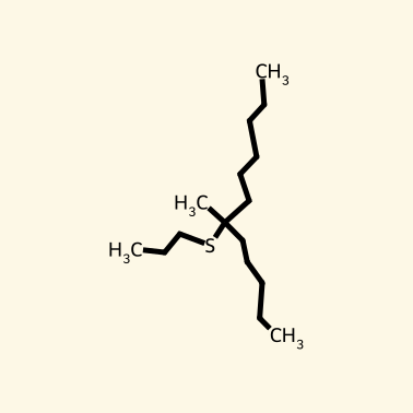 CCCCCCC(C)(CCCCC)SCCC